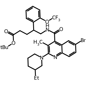 CCC1CCCN(c2nc3ccc(Br)cc3c(C(=O)NCC(CCC(=O)OC(C)(C)C)c3ccccc3OC(F)(F)F)c2C)C1